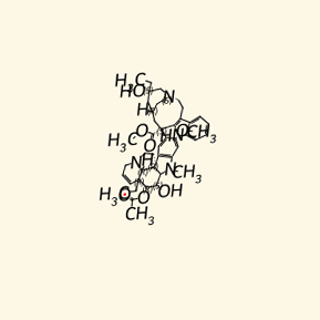 CC[C@]1(O)C[C@@H]2C[N@@](CCc3c([nH]c4ccccc34)[C@@](C(=O)OC)(c3cc4c(cc3OC)N(C)C3[C@H](O)[C@H](OC(C)=O)[C@]5(CC)C=CCN6CC[C@]43[C@@H]65)C2)C1